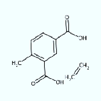 C=C.Cc1ccc(C(=O)O)cc1C(=O)O